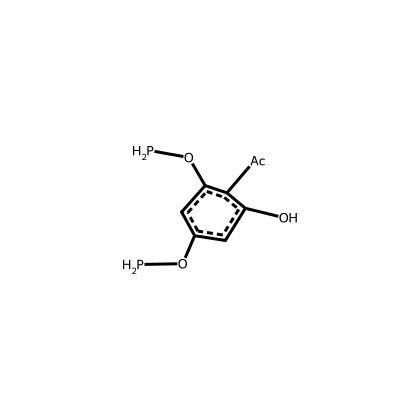 CC(=O)c1c(O)cc(OP)cc1OP